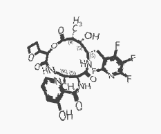 C[C@H]1NC(=O)C(C2CCO2)OC(=O)[C@H](C)[C@H](O)[C@H](Cc2c(F)nc(F)c(F)c2F)NC(=O)[C@H]1NC(=O)c1ncccc1O